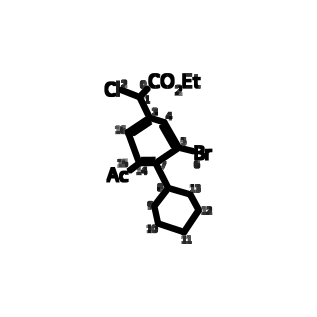 CCOC(=O)C(Cl)c1cc(Br)c(C2CCCCC2)c(C(C)=O)c1